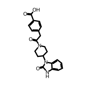 O=C(O)c1ccc(CC(=O)N2CCC(n3c(=O)[nH]c4ccccc43)CC2)cc1